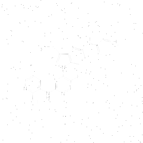 C=CC(=O)Nc1ccc2c(c1)c(C)cn2-c1nc(Nc2cccnc2C)ncc1F